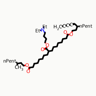 C=C=C=C=CC(CCCCC)CCOC(=O)CCCCCCCC(CCCCCCCC(=O)OCCC(C)CCCCC)C(=O)OCCCCN(CC)CC